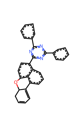 C1=CCC2Oc3ccc(-c4nc(-c5ccccc5)nc(-c5ccccc5)n4)c4cccc(c34)C2=C1